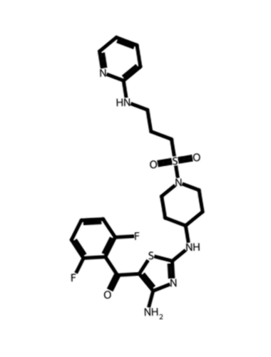 Nc1nc(NC2CCN(S(=O)(=O)CCCNc3ccccn3)CC2)sc1C(=O)c1c(F)cccc1F